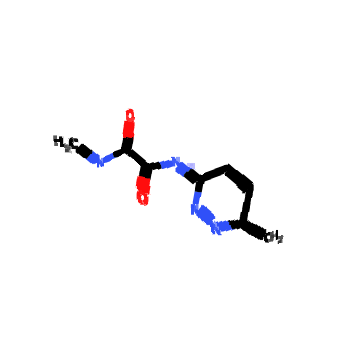 C=NC(=O)C(=O)/N=C1/C=CC(=C)N=N1